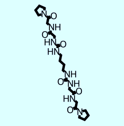 O=C(CNC(=O)NCCCCNC(=O)NCC(=O)NCC(=O)N1CCCC1)NCC(=O)N1CCCC1